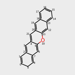 C1=Cc2cc3c(cc2=CC1)Oc1cc2ccccc2cc1C=3